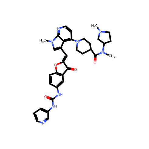 CN1CCC(N(C)C(=O)C2CCN(c3ccnc4c3c(/C=C3\Oc5ccc(NC(=O)Nc6cccnc6)cc5C3=O)cn4C)CC2)C1